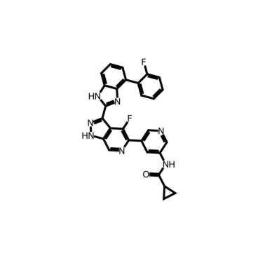 O=C(Nc1cncc(-c2ncc3[nH]nc(-c4nc5c(-c6ccccc6F)cccc5[nH]4)c3c2F)c1)C1CC1